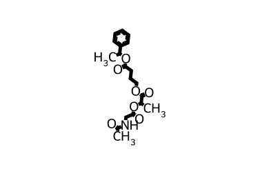 CC(=O)NCC(=O)OC(C)C(=O)OCCCC(=O)OC(C)c1ccccc1